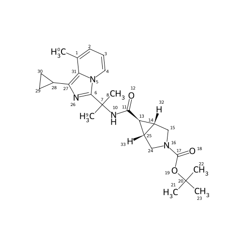 Cc1cccn2c(C(C)(C)NC(=O)[C@H]3[C@@H]4CN(C(=O)OC(C)(C)C)C[C@@H]43)nc(C3CC3)c12